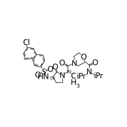 CC(C)N(C(=O)C1CN(C(=O)[C@H](C)N2CC[C@H](NS(=O)(=O)c3ccc4cc(Cl)ccc4c3)C2=O)CCO1)C(C)C